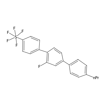 CCCc1ccc(-c2ccc(-c3ccc(S(F)(F)(F)(F)F)cc3)c(F)c2)cc1